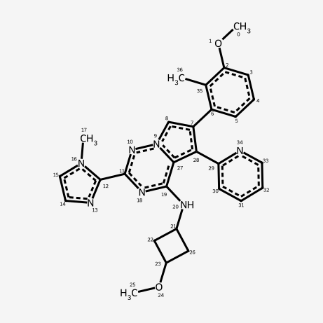 COc1cccc(-c2cn3nc(-c4nccn4C)nc(NC4CC(OC)C4)c3c2-c2ccccn2)c1C